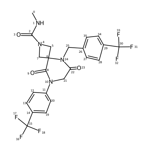 CNC(=O)N1CC2(C1)C(=O)N(c1ccc(C(F)(F)F)cc1)CC(=O)N2Cc1ccc(C(F)(F)F)cc1